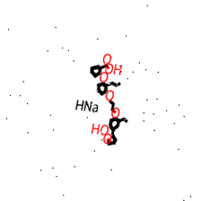 CCCc1c(OCCCOc2cc(O)c(-c3ccco3)cc2CC)cccc1Oc1ccccc1C(=O)O.[NaH]